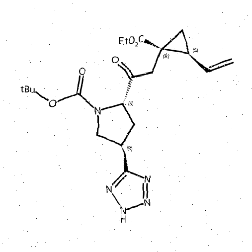 C=C[C@@H]1C[C@]1(CC(=O)[C@@H]1C[C@@H](c2nn[nH]n2)CN1C(=O)OC(C)(C)C)C(=O)OCC